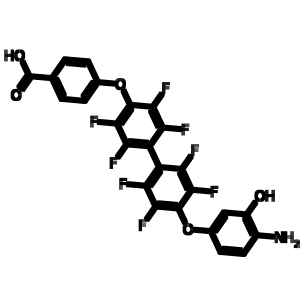 Nc1ccc(Oc2c(F)c(F)c(-c3c(F)c(F)c(Oc4ccc(C(=O)O)cc4)c(F)c3F)c(F)c2F)cc1O